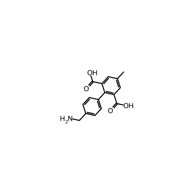 Cc1cc(C(=O)O)c(-c2ccc(CN)cc2)c(C(=O)O)c1